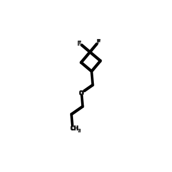 CCCOCC1CC(F)(F)C1